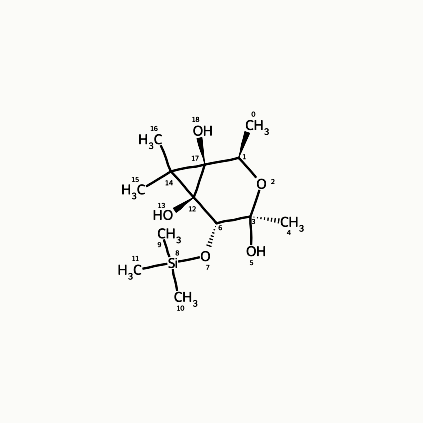 C[C@H]1O[C@@](C)(O)[C@H](O[Si](C)(C)C)[C@]2(O)C(C)(C)[C@]12O